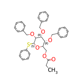 CCC(=O)OCC1O[C@@H](Sc2ccccc2)C(OCc2ccccc2)[C@H](OCc2ccccc2)[C@@H]1OCc1ccccc1